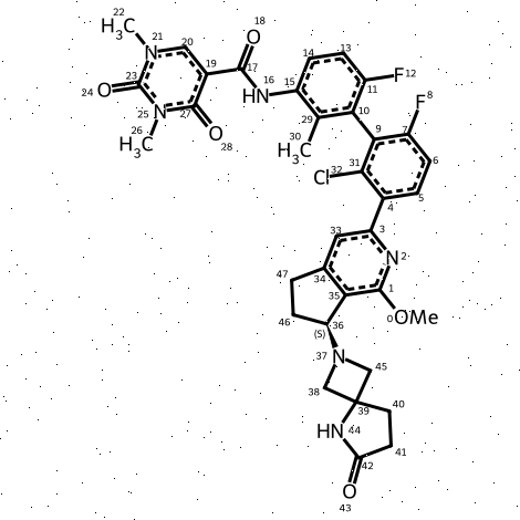 COc1nc(-c2ccc(F)c(-c3c(F)ccc(NC(=O)c4cn(C)c(=O)n(C)c4=O)c3C)c2Cl)cc2c1[C@@H](N1CC3(CCC(=O)N3)C1)CC2